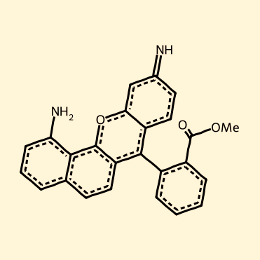 COC(=O)c1ccccc1-c1c2ccc(=N)cc-2oc2c1ccc1cccc(N)c12